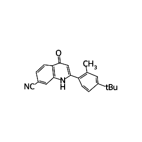 Cc1cc(C(C)(C)C)ccc1-c1cc(=O)c2ccc(C#N)cc2[nH]1